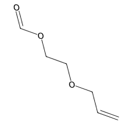 C=CCOCCOC=O